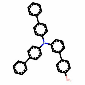 Bc1ccc(-c2cccc(N(c3ccc(-c4ccccc4)cc3)c3ccc(-c4ccccc4)cc3)c2)cc1